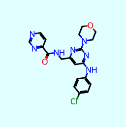 O=C(NCc1cc(Nc2ccc(Cl)cc2)nc(N2CCOCC2)n1)c1ccncn1